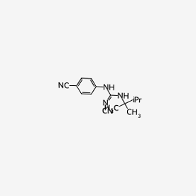 CC(C)C(C)(C)NC(=NC#N)Nc1ccc(C#N)cc1